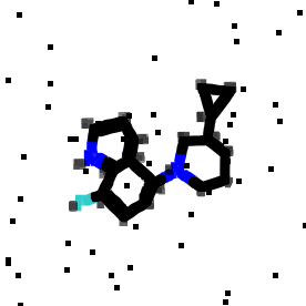 Fc1ccc(N2CCCC(C3CC3)C2)c2cccnc12